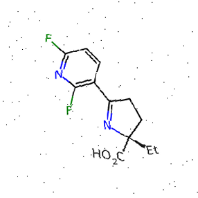 CC[C@]1(C(=O)O)CCC(c2ccc(F)nc2F)=N1